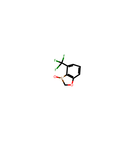 [O-][S+]1COc2cccc(C(F)(F)F)c21